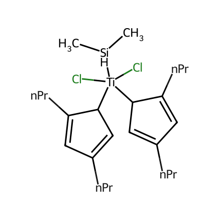 CCCC1=C[CH]([Ti]([Cl])([Cl])([CH]2C=C(CCC)C=C2CCC)[SiH](C)C)C(CCC)=C1